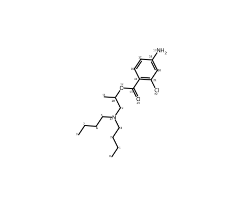 CCCCN(CCCC)CC(C)OC(=O)c1ccc(N)cc1Cl